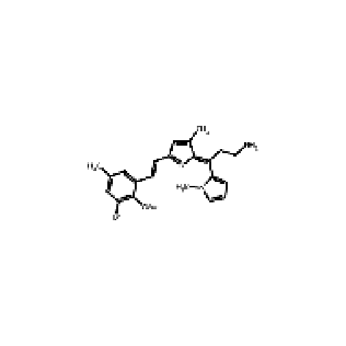 Bn1cccc1/C(CCN)=C1N=C(/C=C/c2cc(C)cc(Br)c2OC)C=C\1C